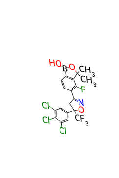 CC1(C)OB(O)c2ccc(C3=NOC(c4cc(Cl)c(Cl)c(Cl)c4)(C(F)(F)F)C3)c(F)c21